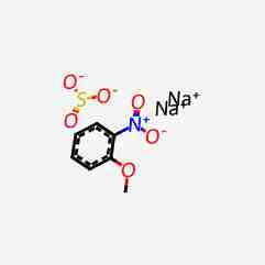 COc1ccccc1[N+](=O)[O-].O=S([O-])[O-].[Na+].[Na+]